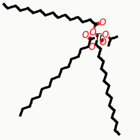 CCCCCCCCCCCCCCCC(=O)[O][Ti](=[O])([O]C(C)C)([C](=O)CCCCCCCCCCCCCCC)[C](=O)CCCCCCCCCCCCCCC